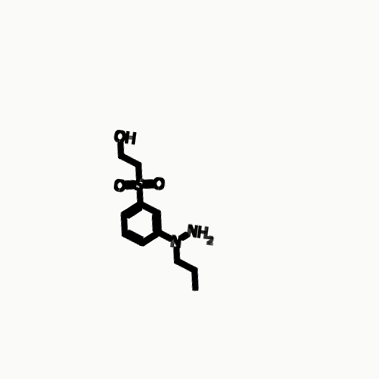 CCCN(N)c1cccc(S(=O)(=O)CCO)c1